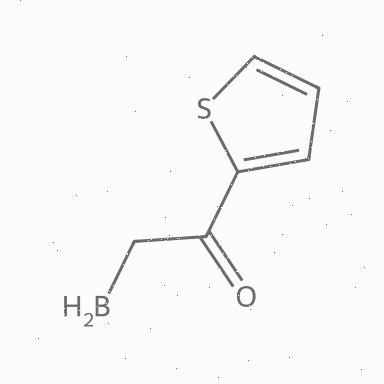 BCC(=O)c1cccs1